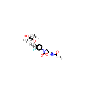 CC(=O)NC[C@H]1CN(c2ccc(BOC(C)(C)C(C)(C)O)c(F)c2)C(=O)O1